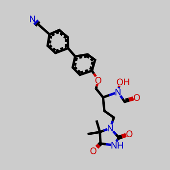 CC1(C)C(=O)NC(=O)N1CCC(COc1ccc(-c2ccc(C#N)cc2)cc1)N(O)C=O